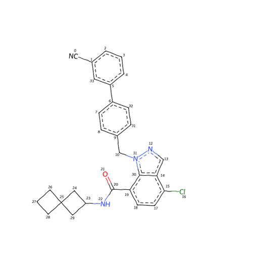 N#Cc1cccc(-c2ccc(Cn3ncc4c(Cl)ccc(C(=O)NC5CC6(CCC6)C5)c43)cc2)c1